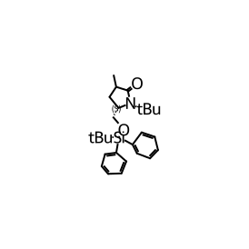 CC1C[C@@H](CO[Si](c2ccccc2)(c2ccccc2)C(C)(C)C)N(C(C)(C)C)C1=O